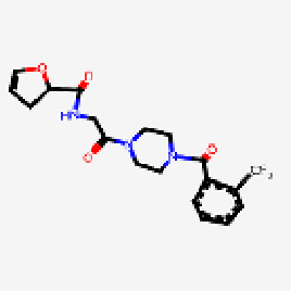 O=C(NCC(=O)N1CCN(C(=O)c2ccccc2C(F)(F)F)CC1)C1CC=CO1